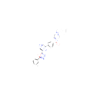 CCOC(=O)N1CCN(C(=O)c2ccc(-c3cncc(-c4nnc(-c5ccccc5)o4)n3)cc2)CC1